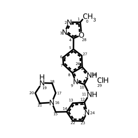 Cc1nnc(-c2ccc3nc(Nc4cc(CN5CCNCC5)ccn4)[nH]c3c2)o1.Cl